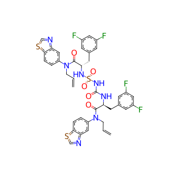 C=CCN(C(=O)[C@H](Cc1cc(F)cc(F)c1)NC(=O)NS(=O)(=O)N[C@@H](Cc1cc(F)cc(F)c1)C(=O)N(CC=C)c1ccc2scnc2c1)c1ccc2scnc2c1